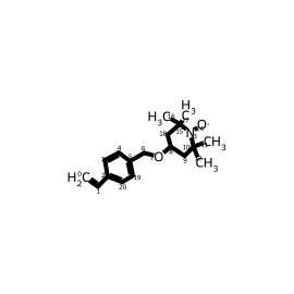 C=Cc1ccc(COC2CC(C)(C)N([O])C(C)(C)C2)cc1